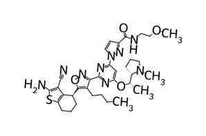 CCCCc1c(-c2nc(O[C@@H](C)[C@@H]3CCCN3C)cc(-n3ccc(C(=O)NCCOC)n3)n2)noc1[C@H]1CCCc2sc(N)c(C#N)c21